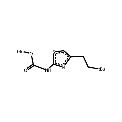 CC(C)(C)[CH]Cc1csc(NC(=O)OC(C)(C)C)n1